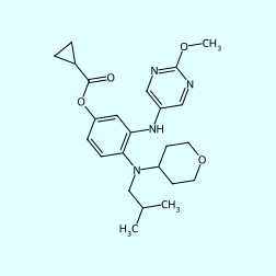 COc1ncc(Nc2cc(OC(=O)C3CC3)ccc2N(CC(C)C)C2CCOCC2)cn1